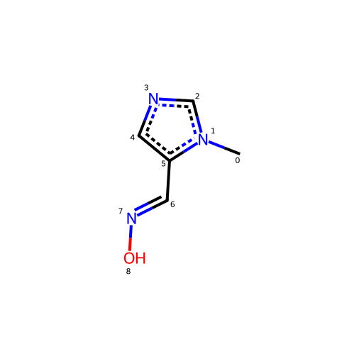 Cn1cncc1C=NO